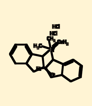 CCC1CC2CC=CC=C2[CH]1[Hf]([CH3])([CH3])(=[GeH2])[CH]1C2=CC=CCC2CC1CC.Cl.Cl